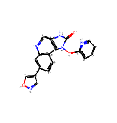 O=c1[nH]c2cnc3cc(-c4cnoc4)ccc3c2n1Oc1ccccn1